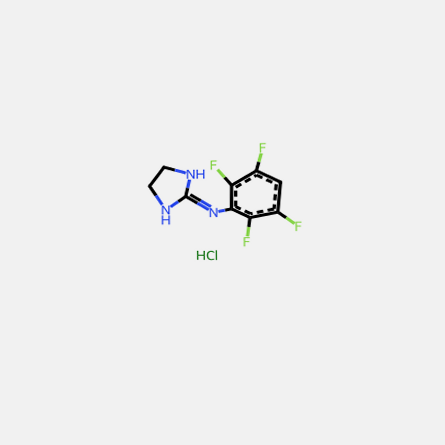 Cl.Fc1cc(F)c(F)c(N=C2NCCN2)c1F